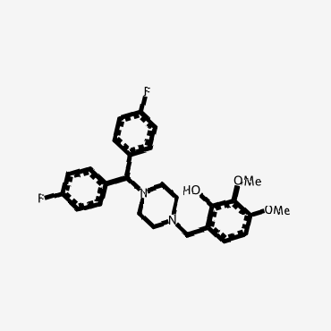 COc1ccc(CN2CCN(C(c3ccc(F)cc3)c3ccc(F)cc3)CC2)c(O)c1OC